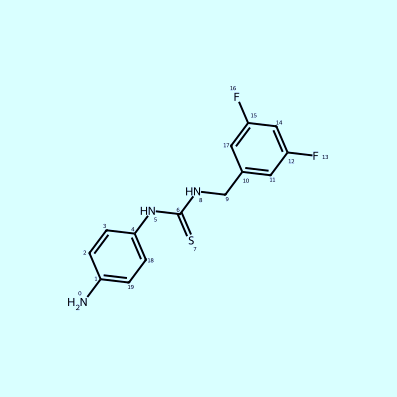 Nc1ccc(NC(=S)NCc2cc(F)cc(F)c2)cc1